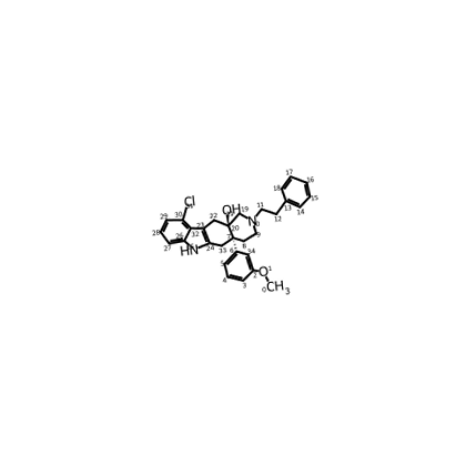 COc1cccc([C@@]23CCN(CCc4ccccc4)C[C@@]2(O)Cc2c([nH]c4cccc(Cl)c24)C3)c1